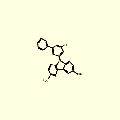 CC(C)(C)c1ccc2c(c1)c1cc(C(C)(C)C)ccc1n2-c1cc(Cl)cc(-c2ccccc2)c1